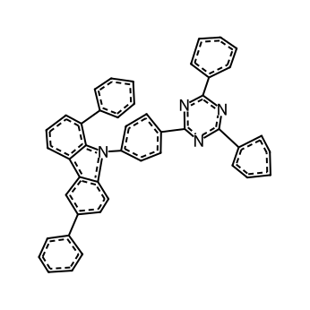 c1ccc(-c2ccc3c(c2)c2cccc(-c4ccccc4)c2n3-c2ccc(-c3nc(-c4ccccc4)nc(-c4ccccc4)n3)cc2)cc1